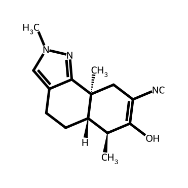 [C-]#[N+]C1=C(O)[C@@H](C)[C@@H]2CCc3cn(C)nc3[C@@]2(C)C1